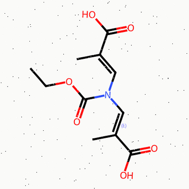 CCOC(=O)N(C=C(C)C(=O)O)/C=C(\C)C(=O)O